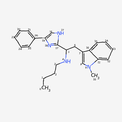 CCCCNC(Cc1cn(C)c2ccccc12)c1nc(-c2ccccc2)c[nH]1